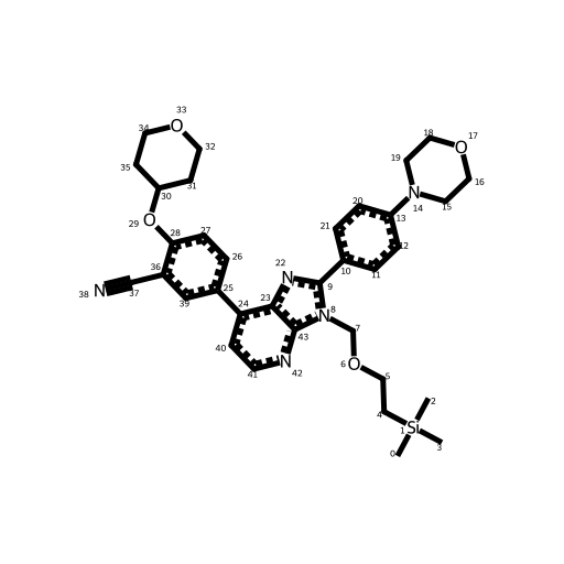 C[Si](C)(C)CCOCn1c(-c2ccc(N3CCOCC3)cc2)nc2c(-c3ccc(OC4CCOCC4)c(C#N)c3)ccnc21